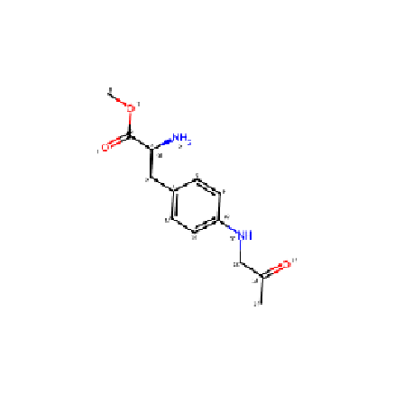 COC(=O)[C@@H](N)Cc1ccc(NCC(C)=O)cc1